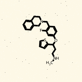 CNCCC(Oc1ccc(CN2CCc3ccccc3C2)c(F)c1)c1cccs1